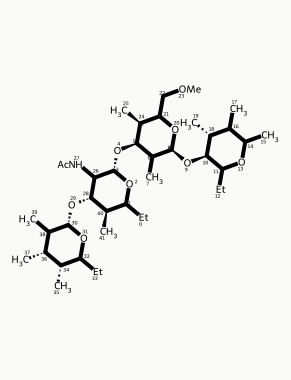 CCC1O[C@@H](O[C@@H]2C(C)[C@H](O[C@@H]3C(CC)OC(C)C(C)[C@H]3C)OC(COC)[C@@H]2C)C(NC(C)=O)[C@@H](O[C@@H]2OC(CC)[C@H](C)[C@H](C)C2C)[C@@H]1C